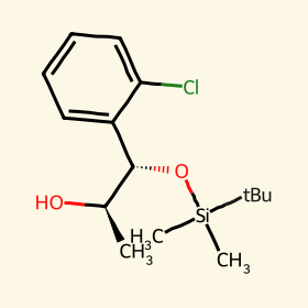 C[C@@H](O)[C@@H](O[Si](C)(C)C(C)(C)C)c1ccccc1Cl